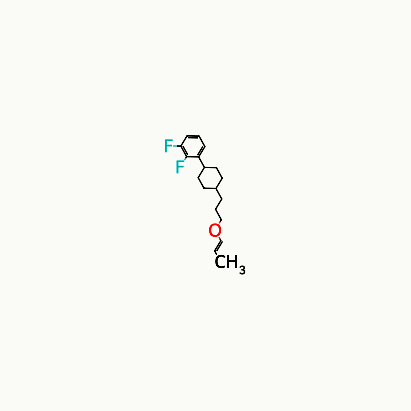 CC=COCCCC1CCC(c2cccc(F)c2F)CC1